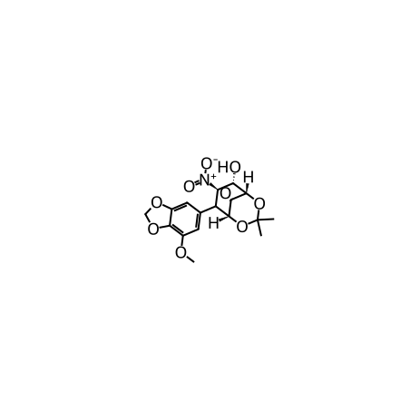 COc1cc(C2[C@@H]([N+](=O)[O-])[C@H](O)[C@@H]3OC(C)(C)O[C@H]2C3=O)cc2c1OCO2